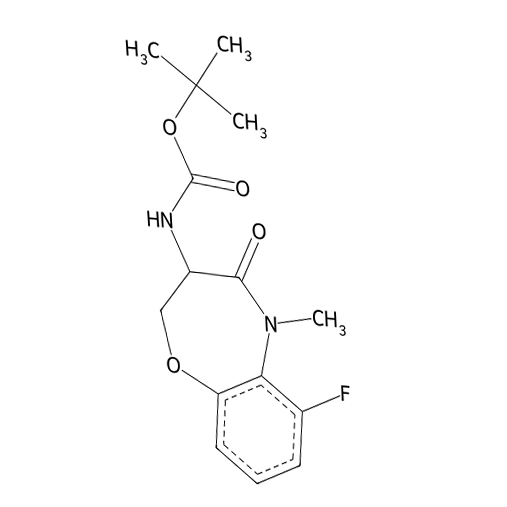 CN1C(=O)C(NC(=O)OC(C)(C)C)COc2cccc(F)c21